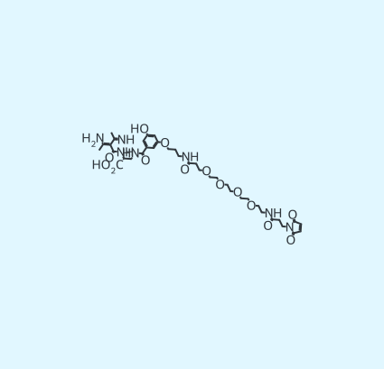 CC(=N)/C(C(=O)N[C@@H](CNC(=O)c1cc(O)cc(OCCCNC(=O)CCOCCOCCOCCOCCNC(=O)CCN2C(=O)C=CC2=O)c1)C(=O)O)=C(/C)N